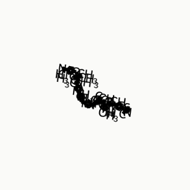 Cc1ncsc1-c1ccc([C@H](C)NC(=O)[C@@H]2C[C@@H](O)CN2C(=O)C(NC(=O)CN2CCN(CC3CCN(c4ccc(C(=O)NC5C(C)(C)C(Oc6ccc(C#N)c(Cl)c6)C5(C)C)cn4)CC3)CC2)C(C)(C)C)cc1